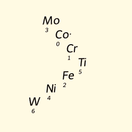 [Co].[Cr].[Fe].[Mo].[Ni].[Ti].[W]